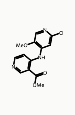 COC(=O)c1cnccc1Nc1cc(Cl)ncc1OC